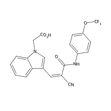 N#CC(=Cc1cn(CC(=O)O)c2ccccc12)C(=O)Nc1ccc(OC(F)(F)F)cc1